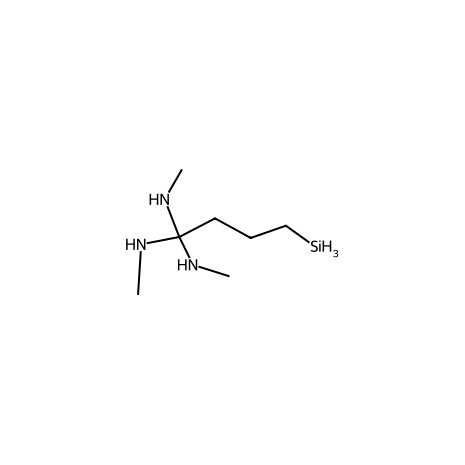 CNC(CCC[SiH3])(NC)NC